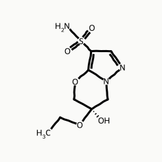 CCO[C@@]1(O)COc2c(S(N)(=O)=O)cnn2C1